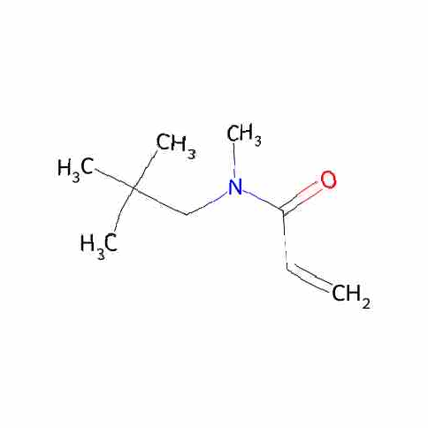 C=CC(=O)N(C)CC(C)(C)C